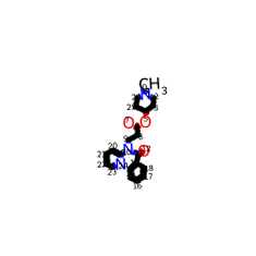 CN1CCC(OC(=O)CCN(C(=O)C2=CC=C=C=C2)c2ccccn2)CC1